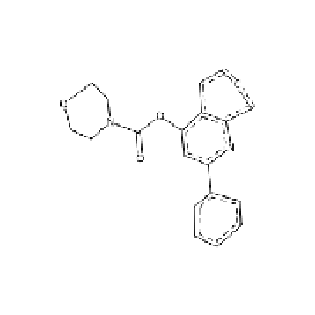 O=C(Oc1cc(-c2ccccc2)nc2ccccc12)N1CCOCC1